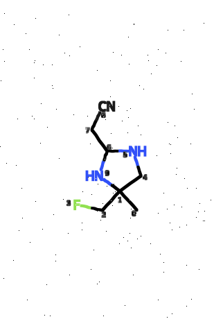 CC1(CF)CNC(CC#N)N1